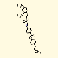 C=CCC1CCC(OC(=O)c2ccc(/C=C/C(=O)OCCc3ccc(N)cc3N)cc2)CC1